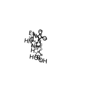 CCN(c1c(N2C[C@H](CCCB(O)O)[C@@](C)(N)C2)c(=O)c1=O)C1CNC1